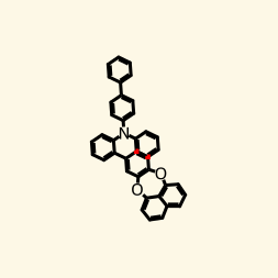 c1ccc(-c2ccc(N(c3ccccc3)c3ccccc3-c3ccc4c(c3)Oc3cccc5cccc(c35)O4)cc2)cc1